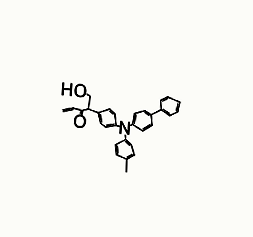 C=CC(=O)C(CO)c1ccc(N(c2ccc(C)cc2)c2ccc(-c3ccccc3)cc2)cc1